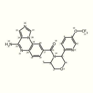 CC1COCC(c2ccc(OC(F)(F)F)cn2)N1C(=O)c1ccc2nc(N)c3cncn3c2c1